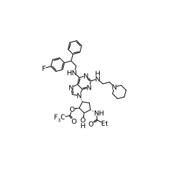 CCC(=O)N[C@H]1C[C@@H](n2cnc3c(NCC(c4ccccc4)c4ccc(F)cc4)nc(NCCN4CCCCC4)nc32)[C@H](OC(=O)C(F)(F)F)[C@@H]1O